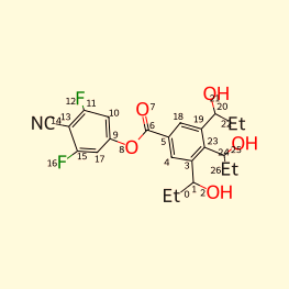 CCC(O)c1cc(C(=O)Oc2cc(F)c(C#N)c(F)c2)cc(C(O)CC)c1C(O)CC